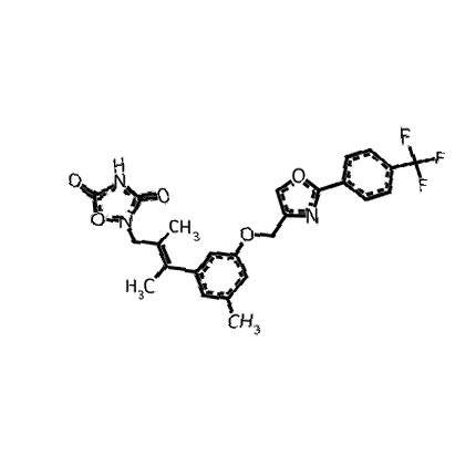 C/C(Cn1oc(=O)[nH]c1=O)=C(/C)c1cc(C)cc(OCc2coc(-c3ccc(C(F)(F)F)cc3)n2)c1